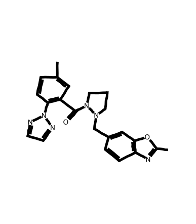 Cc1ccc(-n2nccn2)c(C(=O)N2CCCN2Cc2ccc3nc(C)oc3c2)c1